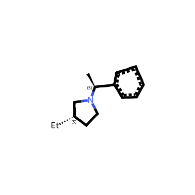 CC[C@H]1CCN([C@@H](C)c2ccccc2)C1